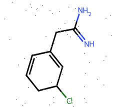 N=C(N)CC1=CC(Cl)CC=C1